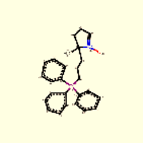 CC1(CCC[P+](c2ccccc2)(c2ccccc2)c2ccccc2)CCC=[N+]1[O-]